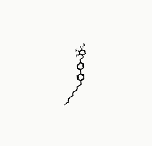 CCCCCCCCc1ccc(-c2ccc(CCc3ccc(OCC)c(F)c3F)cc2)cc1